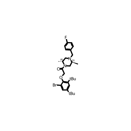 C[C@@H]1CN(Cc2ccc(F)cc2)[C@@H](C)CN1C(=O)COc1c(Br)cc(C(C)(C)C)cc1C(C)(C)C